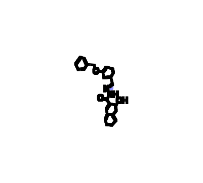 O=C(N/N=C/c1cccc(OCc2ccccc2)c1)c1cc2ccccc2cc1O